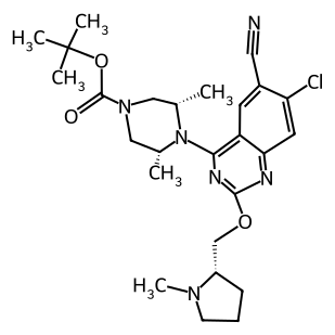 C[C@@H]1CN(C(=O)OC(C)(C)C)C[C@H](C)N1c1nc(OC[C@@H]2CCCN2C)nc2cc(Cl)c(C#N)cc12